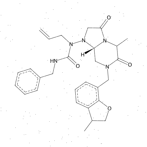 C=CCN(C(=O)NCc1ccccc1)N1CC(=O)N2C(C)C(=O)N(Cc3cccc4c3OCC4C)C[C@@H]21